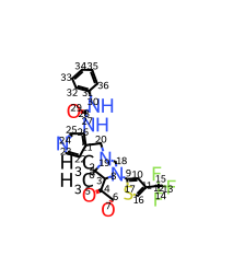 CC1(C)C(C(=O)C=O)N(c2cc(C(F)(F)F)cs2)CN1Cc1ccncc1NC(=O)Nc1ccccc1